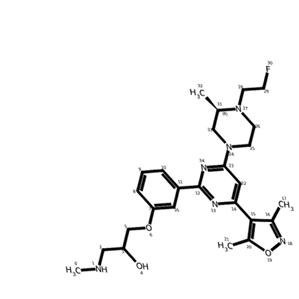 CNCC(O)COc1cccc(-c2nc(-c3c(C)noc3C)cc(N3CCN(CCF)[C@H](C)C3)n2)c1